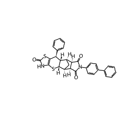 O=C1[C@@H]2[C@H]3C[C@H]([C@@H]4Sc5[nH]c(=O)sc5[C@@H](c5ccccc5)[C@H]34)[C@@H]2C(=O)N1c1ccc(-c2ccccc2)cc1